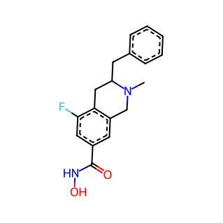 CN1Cc2cc(C(=O)NO)cc(F)c2CC1Cc1ccccc1